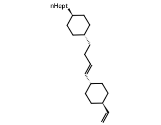 C=C[C@H]1CC[C@H](C=CCC[C@H]2CC[C@H](CCCCCCC)CC2)CC1